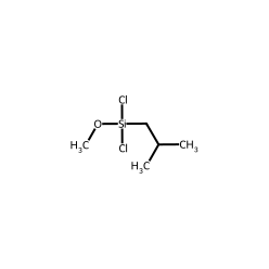 CO[Si](Cl)(Cl)CC(C)C